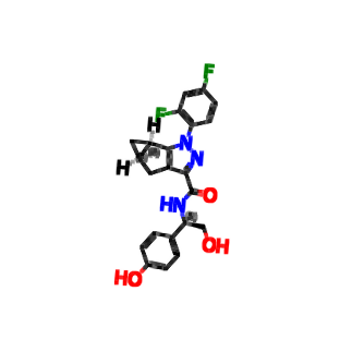 O=C(N[C@@H](CO)c1ccc(O)cc1)c1nn(-c2ccc(F)cc2F)c2c1C[C@H]1C[C@@H]21